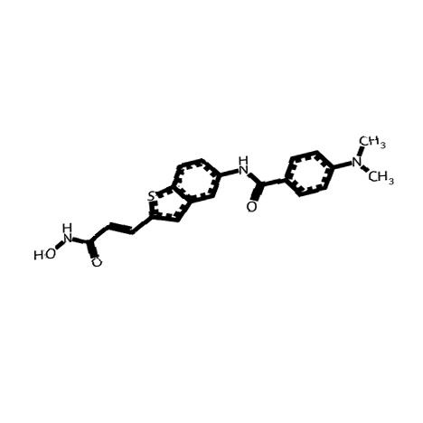 CN(C)c1ccc(C(=O)Nc2ccc3sc(/C=C/C(=O)NO)cc3c2)cc1